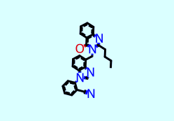 CCCCc1nc2ccccc2c(=O)n1Cc1cccc2c1ncn2-c1ccccc1C#N